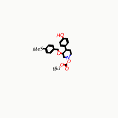 CSc1ccc(COC2CN(OC(=O)OC(C)(C)C)CCC2c2ccc(O)cc2)cc1